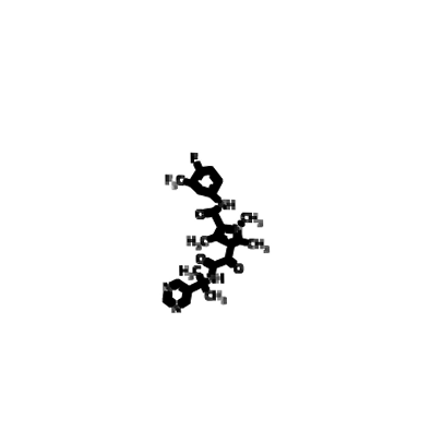 Cc1c(C(=O)C(=O)NC(C)(C)c2cncnc2)c(C)n(C)c1C(=O)Nc1ccc(F)c(C(F)(F)F)c1